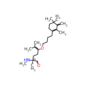 C=C1C(C)=C(CCCCOC(CC[C@](C)(C=O)NC)=C(C)C)CCC1(C)C